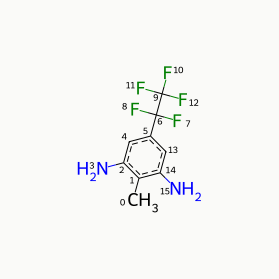 Cc1c(N)cc(C(F)(F)C(F)(F)F)cc1N